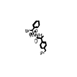 CC(C)Cc1ccc(C(C)C(=O)NNS(=O)(=O)C(Br)c2ccccc2)cc1